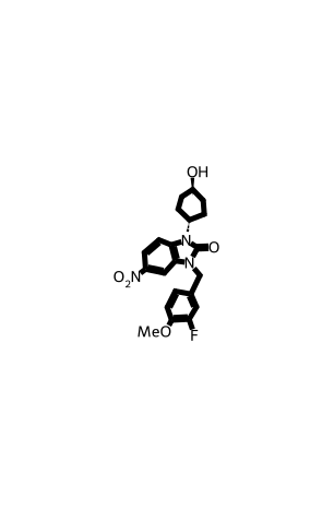 COc1ccc(Cn2c(=O)n([C@H]3CC[C@H](O)CC3)c3ccc([N+](=O)[O-])cc32)cc1F